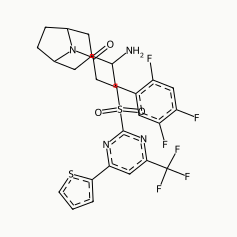 NC(Cc1cc(F)c(F)cc1F)C1CC2CCC(C1)N2C(=O)CCS(=O)(=O)c1nc(-c2cccs2)cc(C(F)(F)F)n1